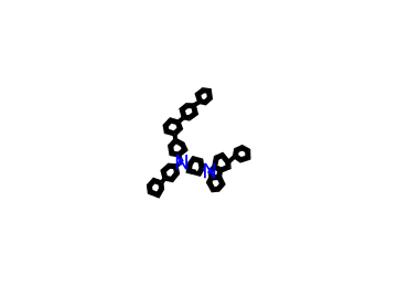 c1ccc(-c2ccc(-c3cccc(-c4ccc(N(c5ccc(-c6ccccc6)cc5)c5ccc(-n6c7ccccc7c7cc(-c8ccccc8)ccc76)cc5)cc4)c3)cc2)cc1